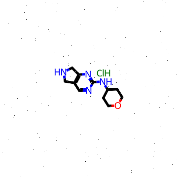 Cl.c1nc(NC2CCOCC2)nc2c1CNC2